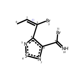 C/C=C(/Br)c1nsnc1C(=N)Br